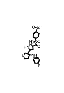 O=C(C1C=C(c2cnccc2Nc2ccc(F)cc2)NN1)S(=O)(=O)c1ccc([N+](=O)[O-])cc1